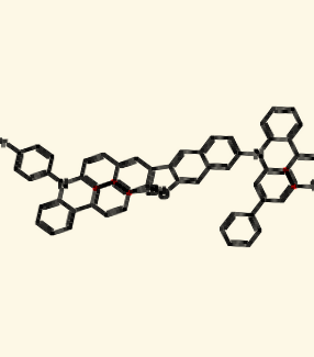 CC(C)c1ccc(-c2ccccc2N(c2cccc(-c3ccccc3)c2)c2ccc3cc4c(cc3c2)oc2cc3cc(N(c5ccc(C(C)C)cc5)c5ccccc5-c5ccc(C(C)(C)C)cc5)ccc3cc24)cc1